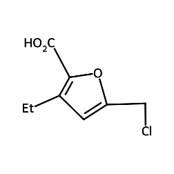 CCc1cc(CCl)oc1C(=O)O